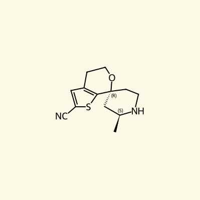 C[C@H]1C[C@@]2(CCN1)OCCc1cc(C#N)sc12